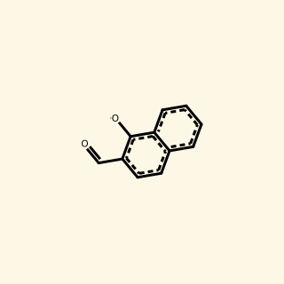 [O]c1c(C=O)ccc2ccccc12